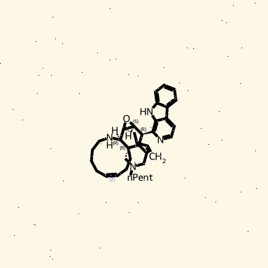 C=CCC[C@]12O[C@H]1[C@@H](c1nccc3c1[nH]c1ccccc13)C1CCN(CCCCC)C[C@@]13CC/C=C\CCCCN[C@H]32